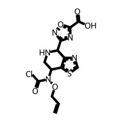 C=CCON(C(=O)Cl)C1CNC(c2noc(C(=O)O)n2)c2ncsc21